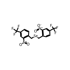 O=[N+]([O-])c1cc(C(F)(F)F)ccc1C[Se]Cc1ccc(C(F)(F)F)cc1[N+](=O)[O-]